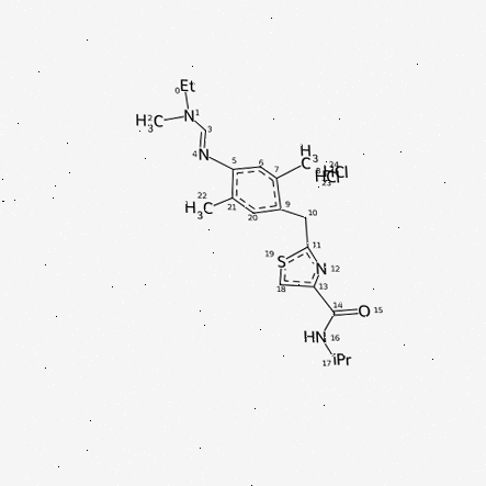 CCN(C)C=Nc1cc(C)c(Cc2nc(C(=O)NC(C)C)cs2)cc1C.Cl.Cl